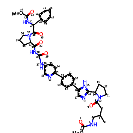 COC(=O)NCC(C)CC(=O)N1CCCC1c1ncc(-c2ccc(-c3ccc(NC(=O)NC(=O)C4CCCN4C(=O)C(NC(=O)OC)c4ccccc4)cn3)cc2)[nH]1